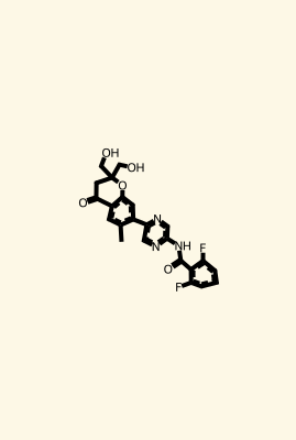 Cc1cc2c(cc1-c1cnc(NC(=O)c3c(F)cccc3F)cn1)OC(CO)(CO)CC2=O